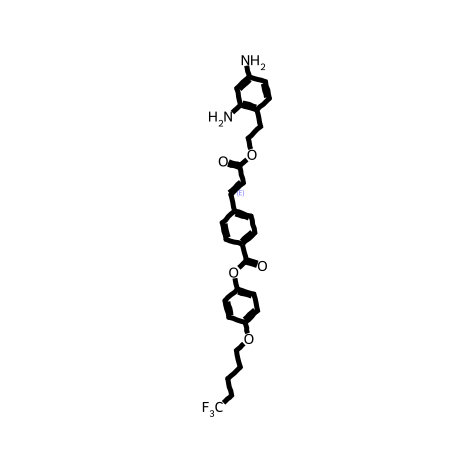 Nc1ccc(CCOC(=O)/C=C/c2ccc(C(=O)Oc3ccc(OCCCCC(F)(F)F)cc3)cc2)c(N)c1